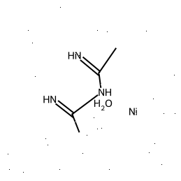 CC(=N)NC(C)=N.O.[Ni]